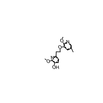 COc1nc(CCOc2cc(C)cnc2OC)ccc1O